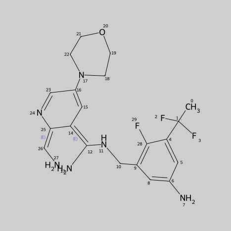 CC(F)(F)c1cc(N)cc(CN/C(N)=c2\cc(N3CCOCC3)cn\c2=C\N)c1F